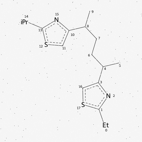 CCc1nc(C(C)CCC(C)c2csc(C(C)C)n2)cs1